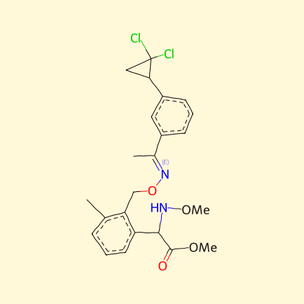 CONC(C(=O)OC)c1cccc(C)c1CO/N=C(\C)c1cccc(C2CC2(Cl)Cl)c1